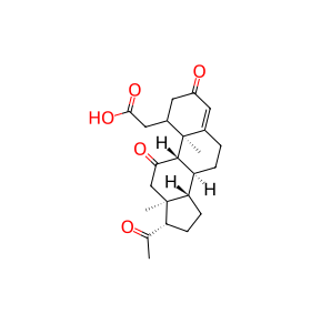 CC(=O)[C@H]1CC[C@H]2[C@@H]3CCC4=CC(=O)CC(CC(=O)O)[C@]4(C)[C@H]3C(=O)C[C@]12C